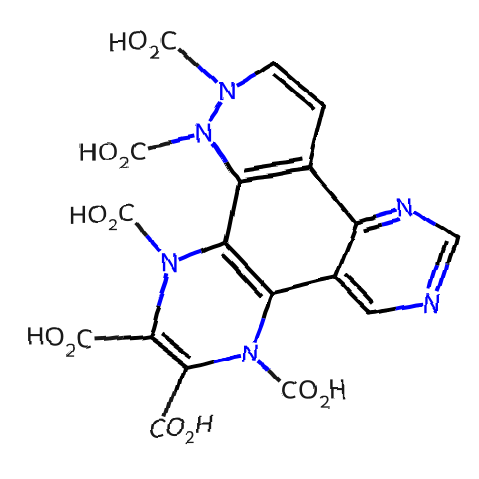 O=C(O)c1c(C(=O)O)n(C(=O)O)c2c(c3cncnc3c3ccn(C(=O)O)n(C(=O)O)c32)n1C(=O)O